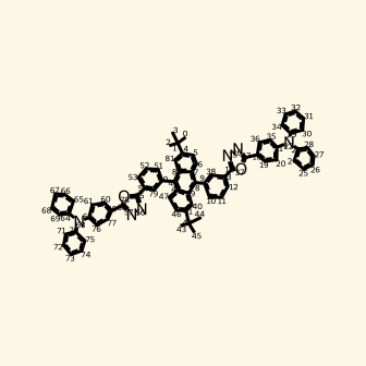 CC(C)(C)c1ccc2c(-c3cccc(-c4nnc(-c5ccc(N(c6ccccc6)c6ccccc6)cc5)o4)c3)c3cc(C(C)(C)C)ccc3c(-c3cccc(-c4nnc(-c5ccc(N(c6ccccc6)c6ccccc6)cc5)o4)c3)c2c1